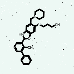 Cc1c(-c2ccccc2)cccc1C1Nc2cc(CN3CCCCC3)c(OCCCC#N)cc2O1